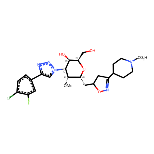 CO[C@@H]1[C@@H](n2cc(-c3ccc(Cl)c(F)c3)nn2)[C@@H](O)[C@@H](CO)O[C@@H]1CC1CC(C2CCN(C(=O)O)CC2)=NO1